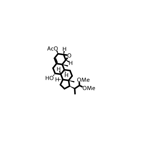 COC(OC)C(C)[C@H]1CC[C@H]2[C@@H]3[C@H](O)CC4=C[C@@H](OC(C)=O)[C@@H]5O[C@@H]5[C@]4(C)[C@H]3CC[C@]12C